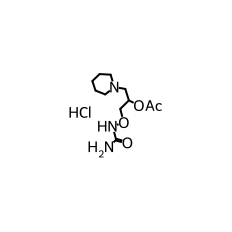 CC(=O)OC(CONC(N)=O)CN1CCCCC1.Cl